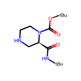 CC(C)(C)NC(=O)[C@H]1CNCCN1C(=O)OC(C)(C)C